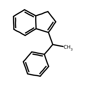 CC(C1=CCc2ccccc21)c1ccccc1